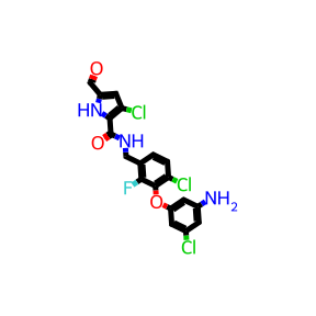 Nc1cc(Cl)cc(Oc2c(Cl)ccc(CNC(=O)c3[nH]c(C=O)cc3Cl)c2F)c1